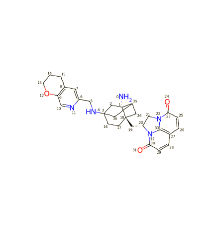 N[C@@]12CC3(NCc4cc5c(cn4)OCCC5)CC[C@@]1(C[C@@H]1Cn4c(=O)ccc5ccc(=O)n1c54)CC2C3